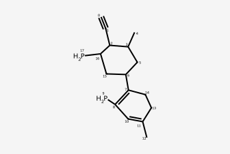 C#CC1C(C)CC(C2=C(P)C=C(C)CC2)CC1P